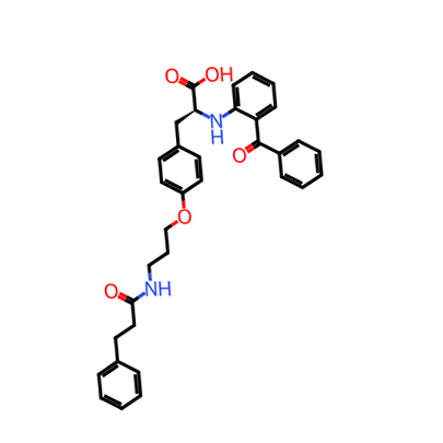 O=C(CCc1ccccc1)NCCCOc1ccc(C[C@H](Nc2ccccc2C(=O)c2ccccc2)C(=O)O)cc1